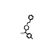 Cc1ccc(C(O)C2CCN(CCc3ccccc3)CC2)cc1